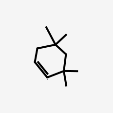 CC1(C)[C]=CCC(C)(C)C1